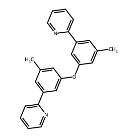 Cc1cc(Oc2cc(C)cc(-c3ccccn3)c2)cc(-c2ccccn2)c1